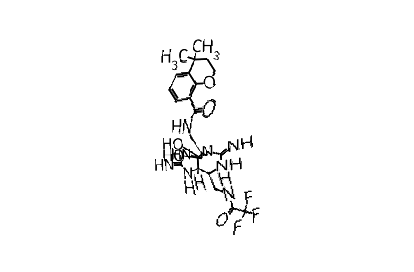 CC1(C)CCOc2c(C(=O)N[C@H]3CN4C(=N)N[C@@H](CNC(=O)C(F)(F)F)[C@@H]5NC(=N)N[C@@]54C3(O)O)cccc21